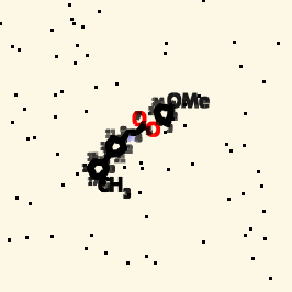 COc1ccc(OC(=O)/C=C/c2ccc(-c3cccc(C)c3)cc2)cc1